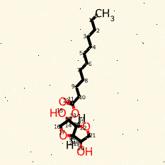 CCCCCCCCCCCC(=O)O[C@@]1(O)CO[C@@H]2[C@H](O)CO[C@@H]21